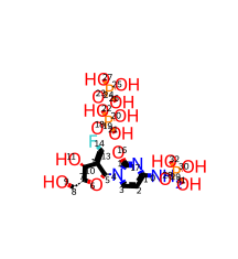 Nc1ccn([C@@H]2O[C@H](CO)[C@@H](O)C2=CF)c(=O)n1.O=P(O)(O)O.O=P(O)(O)O.O=P(O)(O)O